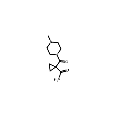 CN1CCN(C(=O)C2(C(N)=O)CC2)CC1